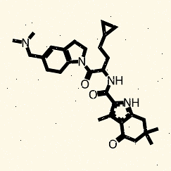 Cc1c(C(=O)NC(CCC2CC2)C(=O)N2CCC3=C2CCC(CN(C)C)=C3)[nH]c2c1C(=O)CC(C)(C)C2